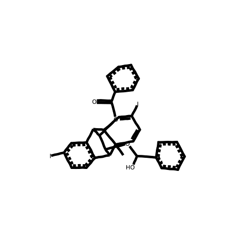 CC12C=CC(I)=CC1C1c3cc(I)ccc3C2C(OC(O)c2ccccc2)C1OC(=O)c1ccccc1